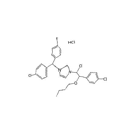 CCCCOC(c1ccc(Cl)cc1)C(Cl)N1C=CN(C(c2ccc(F)cc2)c2ccc(Cl)cc2)C1.Cl